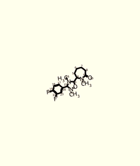 CN1OC(C2CCCCC(=O)N2C)N(C)C1c1ccc(F)c(F)c1